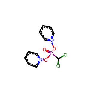 O=P(O[n+]1ccccc1)(O[n+]1ccccc1)C(Cl)Cl